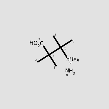 CCCCCCC(C)(C)C(C)(C)C(=O)O.N